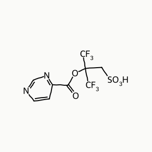 O=C(OC(CS(=O)(=O)O)(C(F)(F)F)C(F)(F)F)c1ccncn1